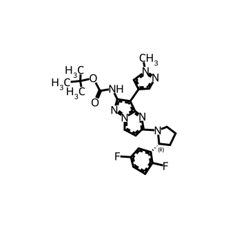 Cn1cc(-c2c(NC(=O)OC(C)(C)C)nn3ccc(N4CCC[C@@H]4c4cc(F)ccc4F)nc23)cn1